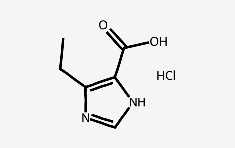 CCc1nc[nH]c1C(=O)O.Cl